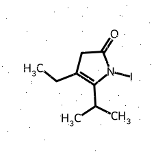 CCC1=C(C(C)C)N(I)C(=O)C1